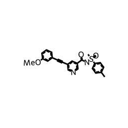 COc1cccc(C#Cc2cncc(C(=O)N=S(C)(=O)c3ccc(C)cc3)c2)c1